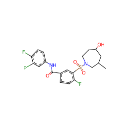 CC1CC(O)CCN(S(=O)(=O)c2cc(C(=O)Nc3ccc(F)c(F)c3)ccc2F)C1